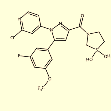 O=C(c1cc(-c2cc(F)cc(OC(F)(F)F)c2)n(-c2ccnc(Cl)c2)n1)N1CCS(O)(O)C1